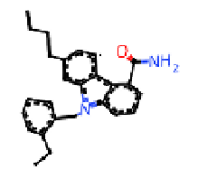 CCCCc1c[c]c2c3c(C(N)=O)cccc3n(Cc3ccccc3CC)c2c1